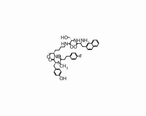 CN(C(=O)CCc1ccc(F)cc1)[C@@H](Cc1ccc(O)cc1)C(=O)N[C@@H]([C]=O)CCCCNC(=O)[C@H](CO)NC(=O)[C@@H](N)Cc1ccc2ccccc2c1